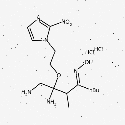 CCCCC(=NO)C(C)C(N)(CN)OCCn1ccnc1[N+](=O)[O-].Cl.Cl